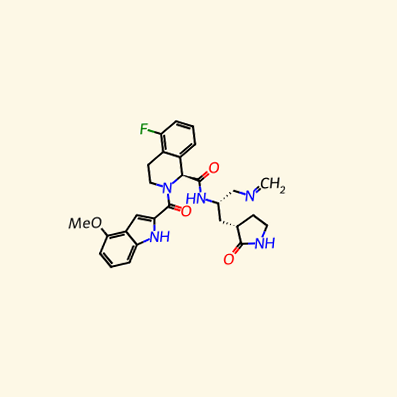 C=NC[C@H](C[C@@H]1CCNC1=O)NC(=O)[C@@H]1c2cccc(F)c2CCN1C(=O)c1cc2c(OC)cccc2[nH]1